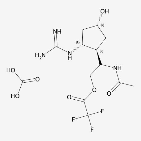 CC(=O)NC(COC(=O)C(F)(F)F)[C@@H]1C[C@@H](O)C[C@H]1NC(=N)N.O=C(O)O